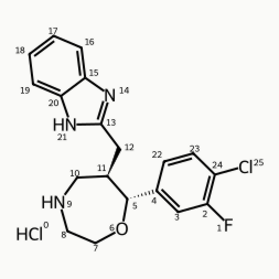 Cl.Fc1cc([C@@H]2OCCNC[C@H]2Cc2nc3ccccc3[nH]2)ccc1Cl